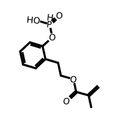 C=C(C)C(=O)OCCc1ccccc1O[PH](=O)O